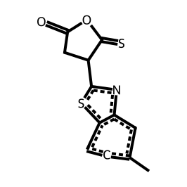 Cc1ccc2sc(C3CC(=O)OC3=S)nc2c1